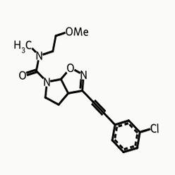 COCCN(C)C(=O)N1CCC2C(C#Cc3cccc(Cl)c3)=NOC21